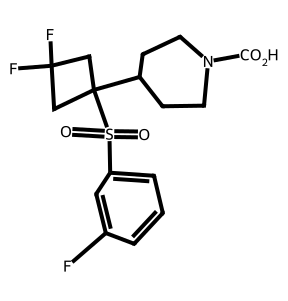 O=C(O)N1CCC(C2(S(=O)(=O)c3cccc(F)c3)CC(F)(F)C2)CC1